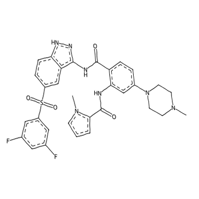 CN1CCN(c2ccc(C(=O)Nc3n[nH]c4ccc(S(=O)(=O)c5cc(F)cc(F)c5)cc34)c(NC(=O)c3cccn3C)c2)CC1